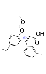 CCc1ccc(OCOC)c(/C(=C/C(=O)O)c2cccc(C)c2)c1